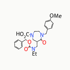 CCN(CC1CN(C(=O)O)CCN(Cc2ccc(OC)cc2)C1=O)C(=O)OCc1ccccc1